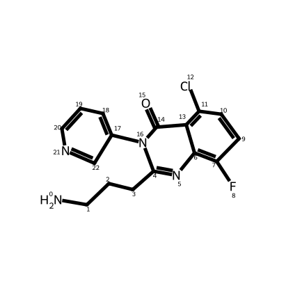 NCCCc1nc2c(F)ccc(Cl)c2c(=O)n1-c1cccnc1